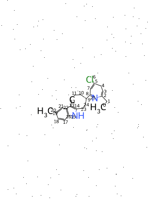 CCC1=CCC(Cl)=CC(C2CCCc3c([nH]c4ccc(C)cc34)CC2)=N1